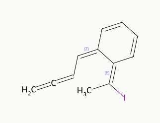 C=C=C/C=c1/cccc/c1=C(/C)I